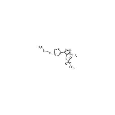 COCOc1ccc(-c2nnn(C)c2CS(=O)(=O)OC)cc1